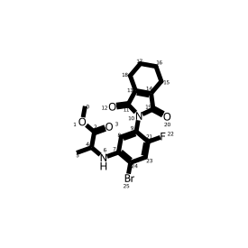 COC(=O)C(C)Nc1cc(N2C(=O)C3=C(CCCC3)C2=O)c(F)cc1Br